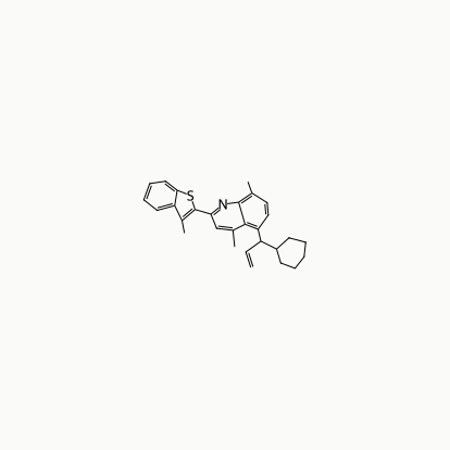 C=CC(c1ccc(C)c2nc(-c3sc4ccccc4c3C)cc(C)c12)C1CCCCC1